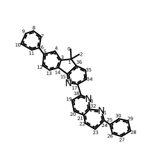 CC1(C)c2cc(-c3ccccc3)ccc2-c2nc(-c3ccc4ccc(-c5ccccc5)nc4n3)ccc21